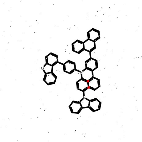 c1ccc(-c2ccc(-c3cc4ccccc4c4ccccc34)cc2N(c2ccc(-c3cccc4oc5ccccc5c34)cc2)c2ccc(-n3c4ccccc4c4ccccc43)cc2)cc1